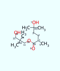 CC(CCC(C)(C)O)C(=O)OCC(C)(C)CO